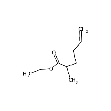 C=CCCC(C)C(=O)OCC